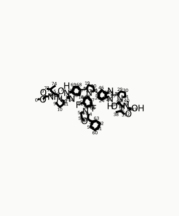 COC(=O)N[C@H](C(=O)N1CCC[C@H]1c1nc2cc([C@H]3CC[C@H](c4ccc5[nH]c([C@@H]6CCCN6C(=O)[C@H](C(C)C)N(C)C(=O)O)nc5c4)N3c3cc(F)c(N4CCOC(c5ccccc5)C4)c(F)c3)ccc2[nH]1)C(C)C